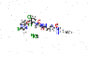 COCCCNC(=O)c1ccc(/C=C/C(=O)NCC(=O)N(C)c2ccc(Cl)c(COc3cccn4c(Br)c(C)nc34)c2Cl)cn1.Cl.Cl